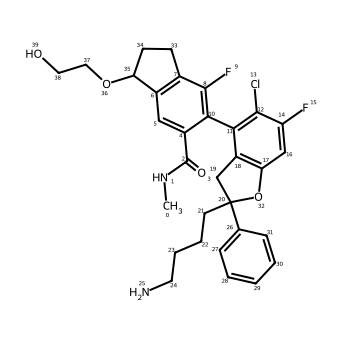 CNC(=O)c1cc2c(c(F)c1-c1c(Cl)c(F)cc3c1CC(CCCCN)(c1ccccc1)O3)CCC2OCCO